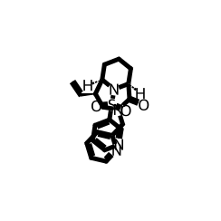 C=C[C@@H]1CN(Cc2ccccn2)C(=O)[C@@H]2CCC[C@H]1N2S(=O)(=O)c1cccnc1